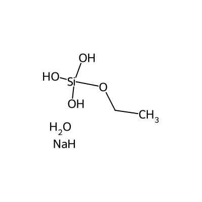 CCO[Si](O)(O)O.O.[NaH]